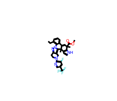 CCc1cccc2c1-n1nc3c(c1C1(C)C2=CC(C)(C(=O)OC)c2[nH]ccc21)CN(c1ncc(C(F)(F)F)cc1F)CC3